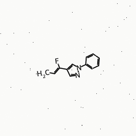 [CH2]/C=C(\F)c1cnn(-c2ccccc2)c1